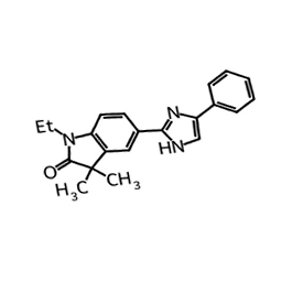 CCN1C(=O)C(C)(C)c2cc(-c3nc(-c4ccccc4)c[nH]3)ccc21